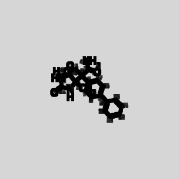 CCC(C(N)=O)(c1ccc(-c2ccccc2)cc1)C1(C)NC(=O)NC1=O